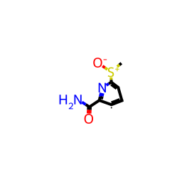 C[S+]([O-])c1cc[c]c(C(N)=O)n1